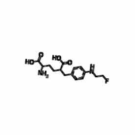 NC(CCC(Cc1ccc(NCCF)cc1)C(=O)O)C(=O)O